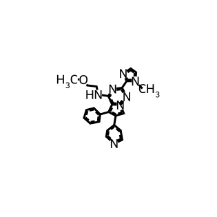 COCCNc1nc(-c2nccn2C)nn2cc(-c3ccncc3)c(-c3ccccc3)c12